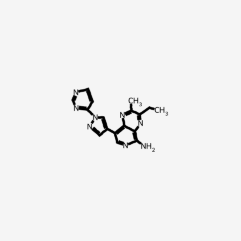 CCc1nc2c(N)ncc(-c3cnn(-c4ccncn4)c3)c2nc1C